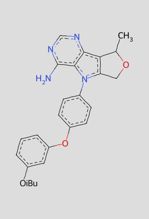 CC(C)COc1cccc(Oc2ccc(-n3c4c(c5ncnc(N)c53)C(C)OC4)cc2)c1